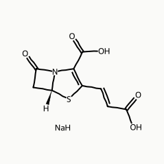 O=C(O)/C=C/C1=C(C(=O)O)N2C(=O)C[C@H]2S1.[NaH]